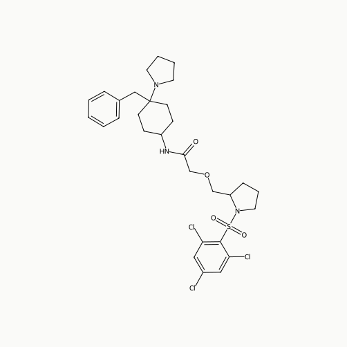 O=C(COCC1CCCN1S(=O)(=O)c1c(Cl)cc(Cl)cc1Cl)NC1CCC(Cc2ccccc2)(N2CCCC2)CC1